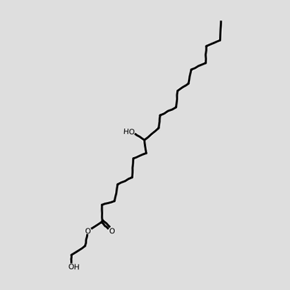 CCCCCCCCCCC(O)CCCCCCC(=O)OCCO